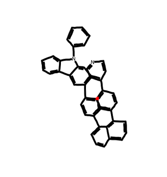 c1ccc(-n2c3ccccc3c3cc(-c4ccc(-c5cccc6cccc(-c7ccc(-c8ccncc8)cc7)c56)cc4)ccc32)cc1